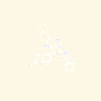 CCc1ncc2cc(-c3nc(NS(=O)(=O)c4ccccc4Cl)nc(OC)c3NC3CCC(N(C)C)CC3)ccc2n1